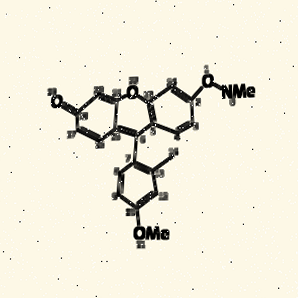 CNOc1ccc2c(-c3ccc(OC)cc3C)c3ccc(=O)cc-3oc2c1